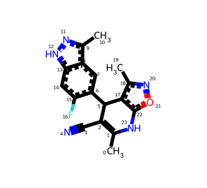 CC1=C(C#N)C(c2cc3c(C)n[nH]c3cc2F)c2c(C)noc2N1